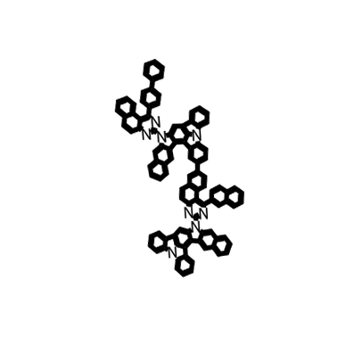 c1ccc(-c2ccc(-c3nc(-n4c5cc6ccccc6cc5c5c6c7cc(-c8ccc9c(ccc%10nc(-n%11c%12cc%13ccccc%13cc%12c%12c%13c%14ccccc%14n%14c%15ccccc%15c(cc%12%11)c%13%14)nc(-c%11ccc%12ccccc%12c%11)c%109)c8)ccc7n7c8ccccc8c(cc54)c67)nc4ccc5ccccc5c34)cc2)cc1